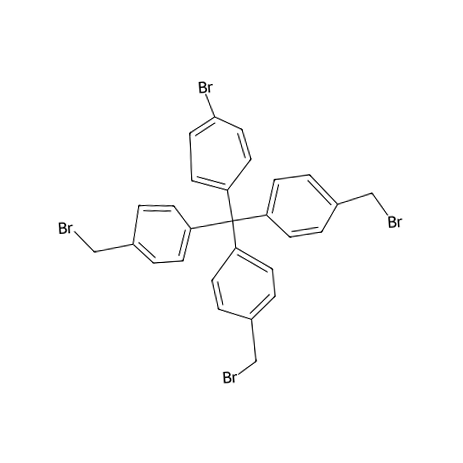 BrCc1ccc(C(c2ccc(Br)cc2)(c2ccc(CBr)cc2)c2ccc(CBr)cc2)cc1